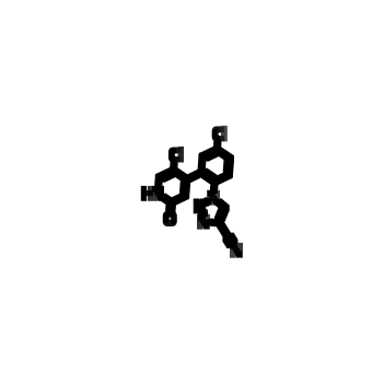 N#Cc1cn(-c2ccc(Cl)cc2-c2cc(=O)[nH]cc2Cl)nn1